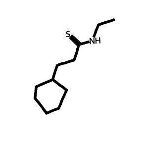 CCNC(=S)CCC1CCCCC1